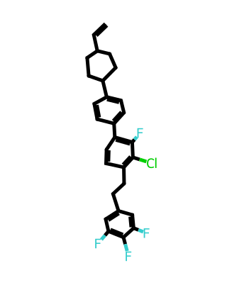 C=CC1CCC(c2ccc(-c3ccc(CCc4cc(F)c(F)c(F)c4)c(Cl)c3F)cc2)CC1